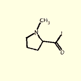 CN1CCCC1C(=O)I